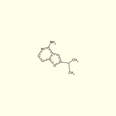 CC(C)c1cc2c(N)nccc2o1